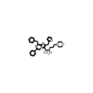 O=C(O)N(CCCN1CCOCC1)Cc1c(Cc2ccco2)nc2c(Cc3ccccc3)nc(-c3ccccc3)cn12